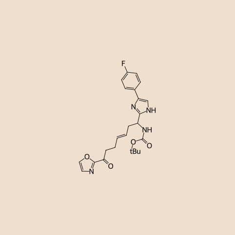 CC(C)(C)OC(=O)NC(CC=CCCC(=O)c1ncco1)c1nc(-c2ccc(F)cc2)c[nH]1